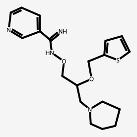 N=C(NOCC(CN1CCCCC1)OCc1cccs1)c1cccnc1